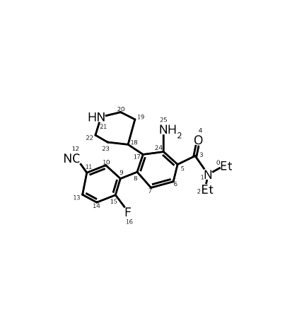 CCN(CC)C(=O)c1ccc(-c2cc(C#N)ccc2F)c(C2CCNCC2)c1N